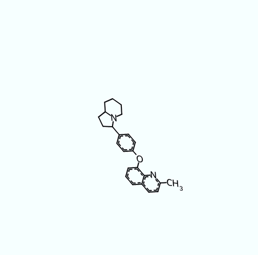 Cc1ccc2cccc(Oc3ccc(C4CCC5CCCCN54)cc3)c2n1